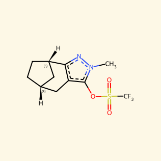 Cn1nc2c(c1OS(=O)(=O)C(F)(F)F)C[C@@H]1CC[C@H]2C1